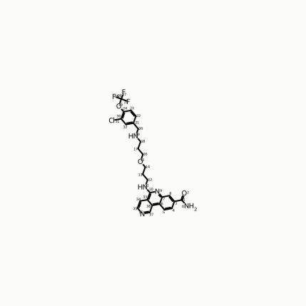 NC(=O)c1ccc2c(c1)nc(NCCCOCCCNCc1ccc(OC(F)(F)F)c(Cl)c1)c1ccncc12